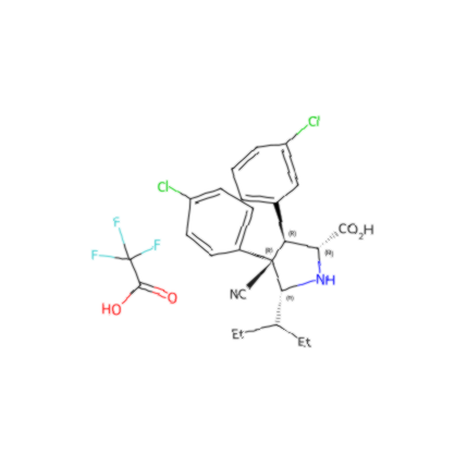 CCC(CC)[C@H]1N[C@@H](C(=O)O)[C@H](c2cccc(Cl)c2)[C@@]1(C#N)c1ccc(Cl)cc1.O=C(O)C(F)(F)F